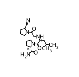 CC(C)C[C@H](NCC(=O)N1CCCC1C#N)C(=O)N1CCC[C@H]1C(N)=O